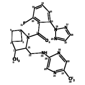 CC1C2CC(C2)N(C(=O)c2c(F)cccc2-n2nccn2)C1CNc1cnc(C(F)(F)F)cn1